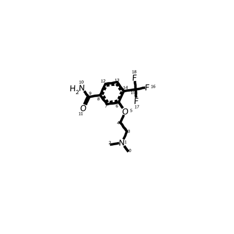 CN(C)CCOc1cc(C(N)=O)ccc1C(F)(F)F